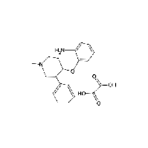 CN1CCC(Oc2ccccc2N)C(c2ccccc2)C1.O=C(O)C(=O)O